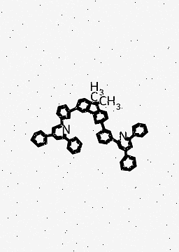 CC1(C)c2ccc(-c3cccc(-c4cc(-c5ccccc5)cc(-c5ccccc5)n4)c3)cc2-c2cc(-c3cccc(-c4cc(-c5ccccc5)cc(-c5ccccc5)n4)c3)ccc21